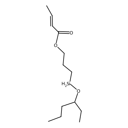 CC=CC(=O)OCCC[SiH2]OC(CC)CCC